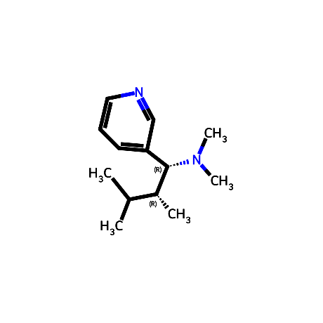 CC(C)[C@@H](C)[C@H](c1cccnc1)N(C)C